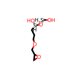 O[SiH2]O[SiH](O)CCCOCC1CO1